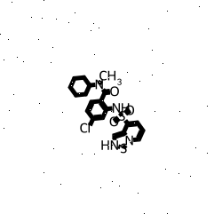 CN(C(=O)c1ccc(Cl)cc1NS(=O)(=O)C1=CC=CN2SNC=C12)C1CCCCC1